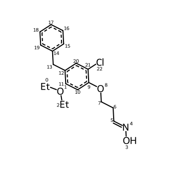 CCOCC.ON=CCCOc1ccc(Cc2ccccc2)cc1Cl